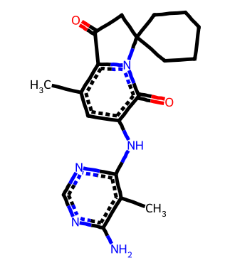 Cc1cc(Nc2ncnc(N)c2C)c(=O)n2c1C(=O)CC21CCCCC1